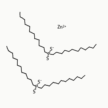 CCCCCCCCCCCCP(=S)([S-])CCCCCCCCCCCC.CCCCCCCCCCCCP(=S)([S-])CCCCCCCCCCCC.[Zn+2]